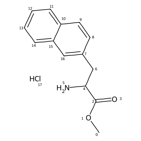 COC(=O)C(N)Cc1ccc2ccccc2c1.Cl